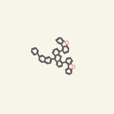 c1ccc(-c2ccc3ccc(-c4c5cccc(-c6cccc7oc8ccccc8c67)c5cc5c(-c6cccc7oc8ccccc8c67)cccc45)cc3c2)cc1